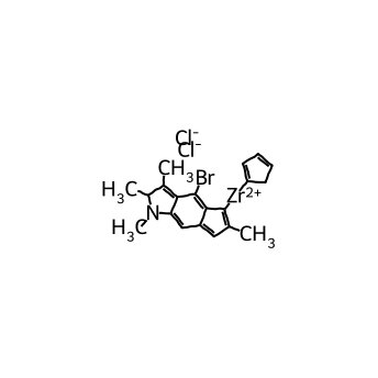 CC1=[C]([Zr+2][C]2=CC=CC2)c2c(Br)c3c(cc2=C1)N(C)C(C)C=3C.[Cl-].[Cl-]